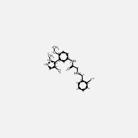 COc1ccc(NC(=O)CNCc2ccccc2F)cc1-c1c(Cl)cnn1C